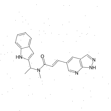 CC(c1cc2ccccc2[nH]1)N(C)C(=O)/C=C/c1cnc2[nH]ncc2c1